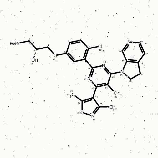 CNC[C@@H](O)COc1ccc(Cl)c(-c2nc(-c3c(C)noc3C)c(C)c(N3CCc4ccncc43)n2)c1